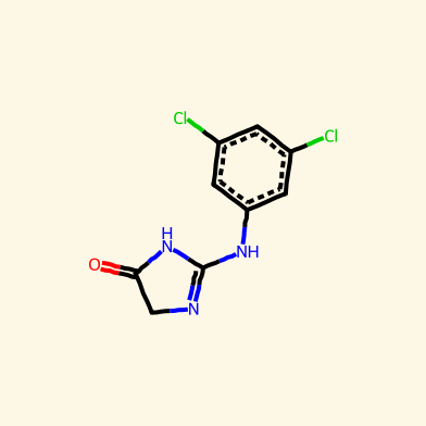 O=C1CN=C(Nc2cc(Cl)cc(Cl)c2)N1